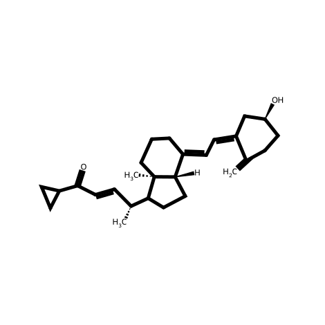 C=C1CC[C@H](O)C/C1=C/C=C1\CCC[C@]2(C)C([C@H](C)/C=C/C(=O)C3CC3)CC[C@@H]12